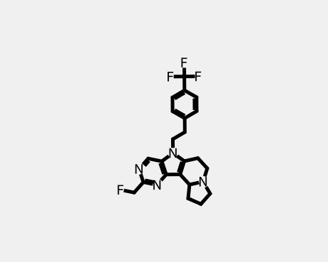 FCc1ncc2c(n1)c1c(n2CCc2ccc(C(F)(F)F)cc2)CCN2CCCC12